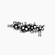 CC(=O)O[C@@H]([C@H]1C[C@@H](C)C2=C(O1)[C@H](O)[C@@]1(C)[C@@H]3CC[C@H]4C(C)(C)[C@@H](O[C@]5(C)OC[C@@H](O)[C@H](O)[C@H]5O)CCC45[C@@H](C)[C@@]35CC[C@]21C)C(C)(C)O